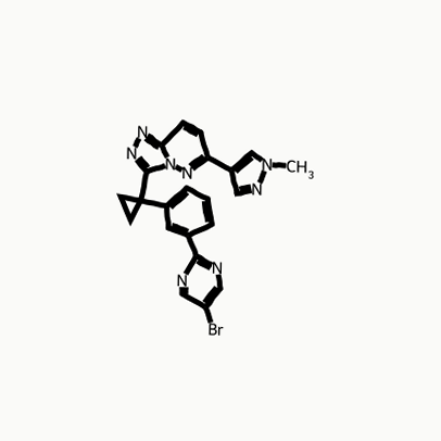 Cn1cc(-c2ccc3nnc(C4(c5cccc(-c6ncc(Br)cn6)c5)CC4)n3n2)cn1